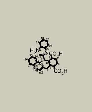 C=C(Cc1c(C(=O)O)ccc(C(=O)O)c1CC(=C)Sc1ccccc1N)Sc1ccccc1N